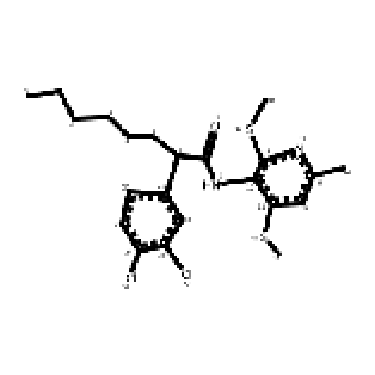 CCCCCCC(C(=O)Nc1c(SC)cc(C)nc1SC)c1ccc(Cl)c(Cl)c1